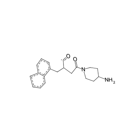 NC1CCN(C(=O)CC([C]=O)Cc2cccc3ccccc23)CC1